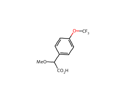 COC(C(=O)O)c1ccc(OC(F)(F)F)cc1